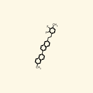 Cc1ccc2cc(-c3ccc4cc(CCc5ccc(C)c(F)c5F)ccc4c3)ccc2c1